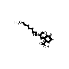 CCCCCCCCNC1COc2c(F)ccc(C(=O)O)c2C1